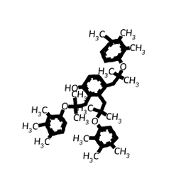 Cc1ccc(OC(C)(C)Cc2ccc(O)c(CC(C)(C)Oc3ccc(C)c(C)c3C)c2CC(C)(C)Oc2ccc(C)c(C)c2C)c(C)c1C